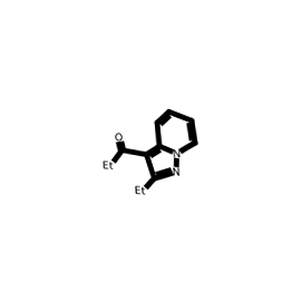 CCC(=O)c1c(CC)nn2ccccc12